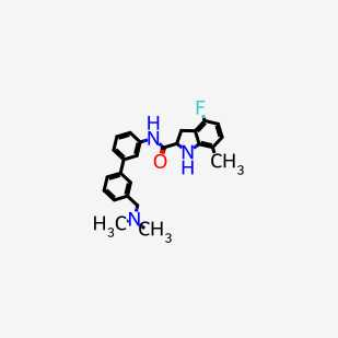 Cc1ccc(F)c2c1NC(C(=O)Nc1cccc(-c3cccc(CN(C)C)c3)c1)C2